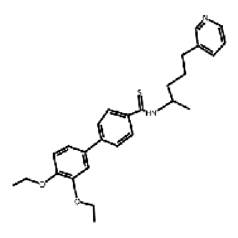 CCOc1ccc(-c2ccc(C(=S)NC(C)CCCc3cccnc3)cc2)cc1OCC